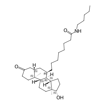 CCCCCNC(=O)CCCCCCC[C@@H]1C[C@H]2CC(=O)CC[C@]2(C)[C@H]2CC[C@]3(C)[C@@H](O)CC[C@H]3[C@H]12